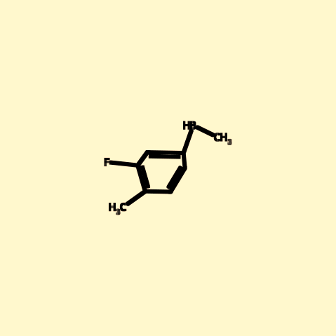 CBc1ccc(C)c(F)c1